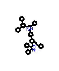 N=C(/C(=C1\NC(c2ccccc2)=Cc2cc(-c3ccc(-c4nc(-c5ccccc5)cc(-c5cc(-c6ccccc6)cc(-c6ccccc6)c5)n4)cc3)ccc21)c1ccccc1)c1ccccc1